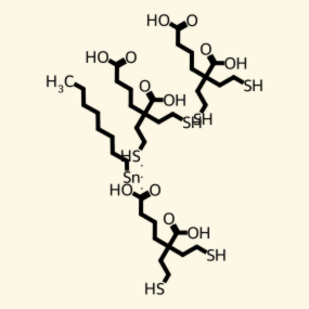 CCCCCCC[CH2][Sn].O=C(O)CCCC(CCS)(CCS)C(=O)O.O=C(O)CCCC(CCS)(CCS)C(=O)O.O=C(O)CCCC(CCS)(CCS)C(=O)O